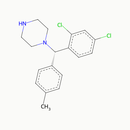 Cc1ccc([C@@H](c2ccc(Cl)cc2Cl)N2CCNCC2)cc1